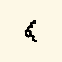 CCCc1cccc(COC=O)c1